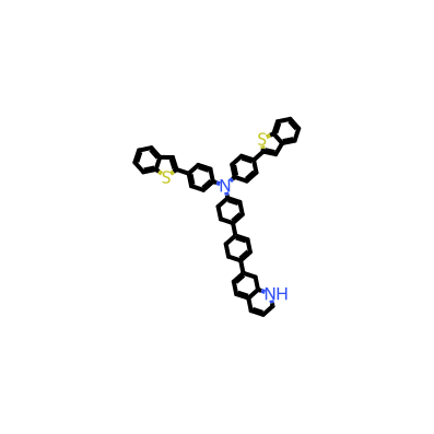 C1=CC2=CC=C(C3=CC=C(C4=CC=C(N(c5ccc(-c6cc7ccccc7s6)cc5)c5ccc(-c6cc7ccccc7s6)cc5)CC4)CC3)CC2NC1